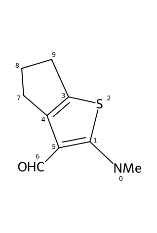 CNc1sc2c(c1C=O)CCC2